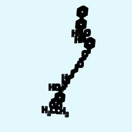 CC1(C)OCc2cc([C@H](O)CNCCCCCCOCCOCc3cccc(NC(=O)Nc4ccc(-c5ccccc5)cc4)c3)ccc2O1